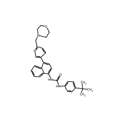 CC(C)(C)c1ccc(NC(=O)Nc2ccc(-c3ccc(CN4CCOCC4)nc3)c3ccccc23)cc1